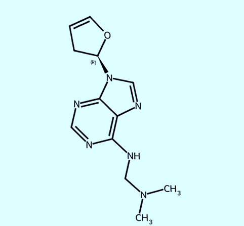 CN(C)CNc1ncnc2c1ncn2[C@H]1CC=CO1